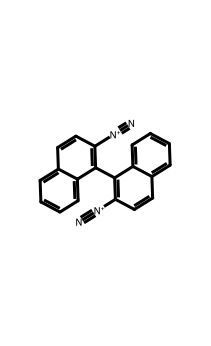 N#[N+]c1ccc2ccccc2c1-c1c([N+]#N)ccc2ccccc12